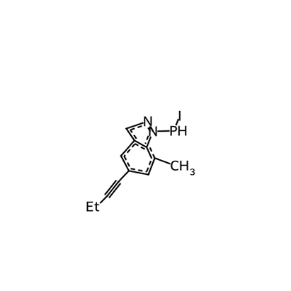 CCC#Cc1cc(C)c2c(cnn2PI)c1